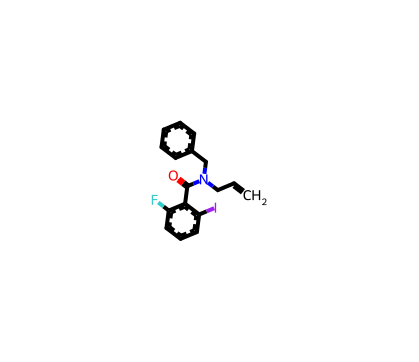 C=CCN(Cc1ccccc1)C(=O)c1c(F)cccc1I